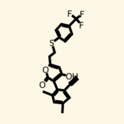 C#Cc1cc(C)cc(C)c1-c1c(O)cc(CCSc2ccc(C(F)(F)F)cc2)oc1=O